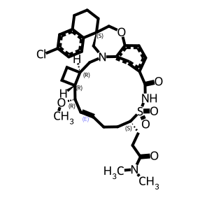 CO[C@H]1/C=C/CC[C@@H](CCC(=O)N(C)C)S(=O)(=O)NC(=O)c2ccc3c(c2)N(C[C@@H]2CC[C@H]21)C[C@@]1(CCCc2cc(Cl)ccc21)CO3